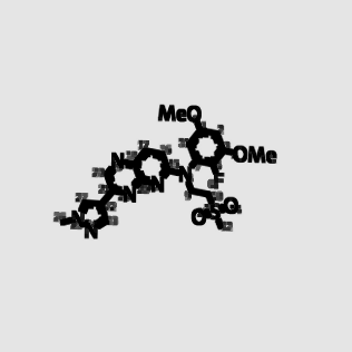 COc1cc(OC)c(F)c(N(CCS(C)(=O)=O)c2ccc3ncc(-c4cnn(C)c4)nc3n2)c1